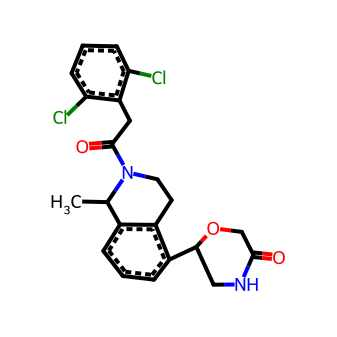 CC1c2cccc(C3CNC(=O)CO3)c2CCN1C(=O)Cc1c(Cl)cccc1Cl